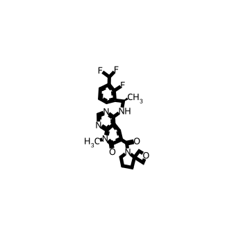 C[C@@H](Nc1ncnc2c1cc(C(=O)N1CCCC13COC3)c(=O)n2C)c1cccc(C(F)F)c1F